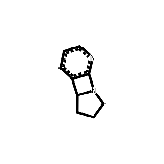 [c]1cnc2c(c1)C1CCCN21